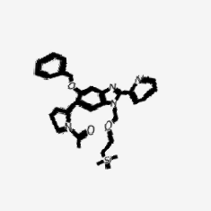 CC(=O)N1CCCC1c1cc2c(cc1OCc1ccccc1)nc(-c1ccccn1)n2COCC[Si](C)(C)C